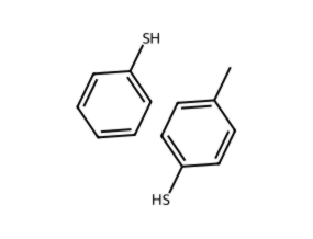 Cc1ccc(S)cc1.Sc1ccccc1